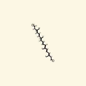 CC(/C=C/C=C(\C)CC=O)=C\C=C\C=C(C)\C=C\C=C(/C)CC=O